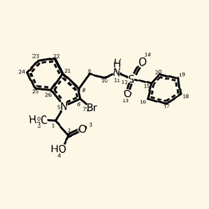 CC(C(=O)O)n1c(Br)c(CCNS(=O)(=O)c2ccccc2)c2ccccc21